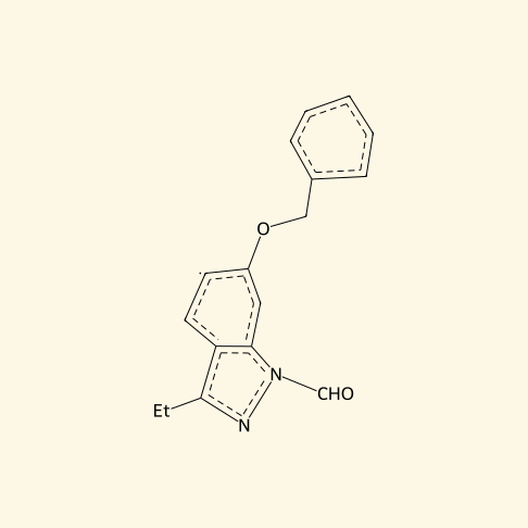 CCc1nn(C=O)c2cc(OCc3ccccc3)[c]cc12